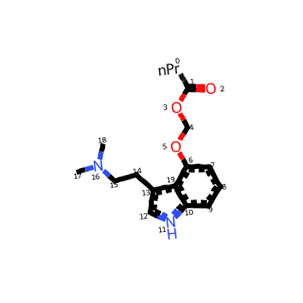 CCCC(=O)OCOc1cccc2[nH]cc(CCN(C)C)c12